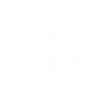 CC(C(=O)N1CCC(CN2CCCCC2)CC1)c1cccc(C(=O)c2ccccc2)c1.Cl